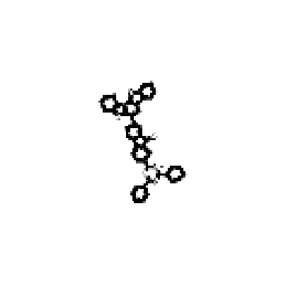 O=C1c2cc(-c3cc4c5ccccc5oc4c4c3sc3ccccc34)ccc2-c2ccc(C3N=C(c4ccccc4)N=C(c4ccccc4)N3)cc21